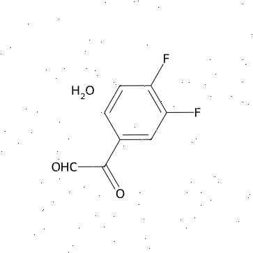 O.O=CC(=O)c1ccc(F)c(F)c1